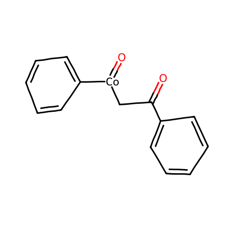 O=C([CH2][Co](=[O])[c]1ccccc1)c1ccccc1